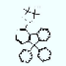 C=C(B1OC(C)(C)C(C)(C)O1)C1=C(/C=C\C)C(c2ccccc2)(c2ccccc2)c2ccccc21